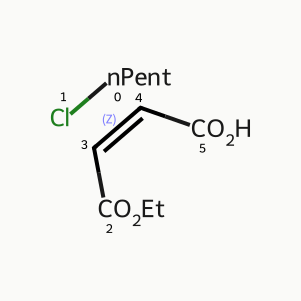 CCCCCCl.CCOC(=O)/C=C\C(=O)O